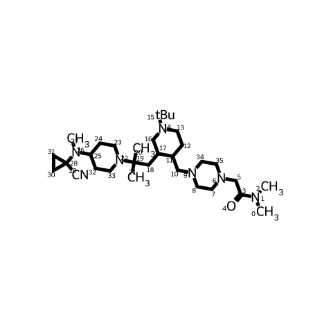 CN(C)C(=O)CN1CCN(CC2CCN(C(C)(C)C)CC2CC(C)(C)N2CCC(N(C)C3(C#N)CC3)CC2)CC1